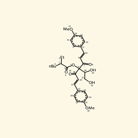 CCCCC(CC)C(=O)OC(C(=O)C=Cc1ccc(OC)cc1)(C(=O)C=Cc1ccc(OC)cc1)C(O)CO